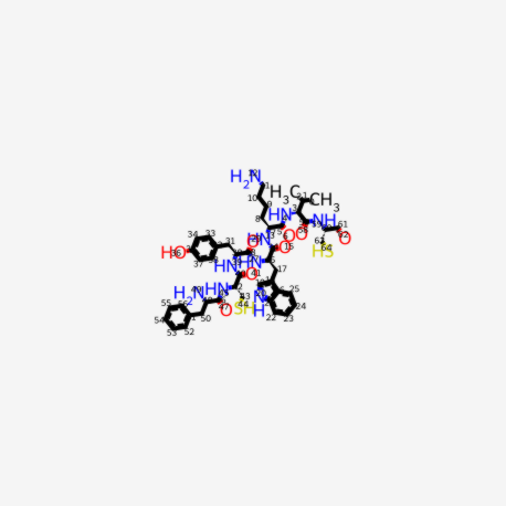 CC(C)[C@H](NC(=O)[C@H](CCCCN)NC(=O)[C@@H](Cc1c[nH]c2ccccc12)NC(=O)[C@H](Cc1ccc(O)cc1)NC(=O)[C@H](CS)NC(=O)[C@H](N)Cc1ccccc1)C(=O)N[C@H]([C]=O)CS